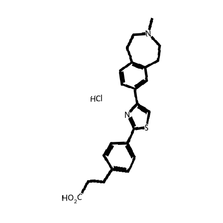 CN1CCc2ccc(-c3csc(-c4ccc(CCC(=O)O)cc4)n3)cc2CC1.Cl